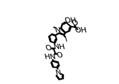 Cn1c(-c2cccc(NC(=O)C(=O)Nc3ccc(-n4cccc4)cc3)c2)c(I)c2cc(C(=O)O)c(O)cc21